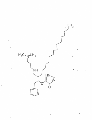 CCCCCCCCCCCCCCCCC(CNCCCN(C)C)C(Cc1ccccc1)Oc1c[nH]ccc1=O